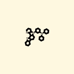 c1ccc(N(c2ccccc2)c2cccc(-n3c4cccnc4c4c5sc6ccccc6c5ccc43)c2)cc1